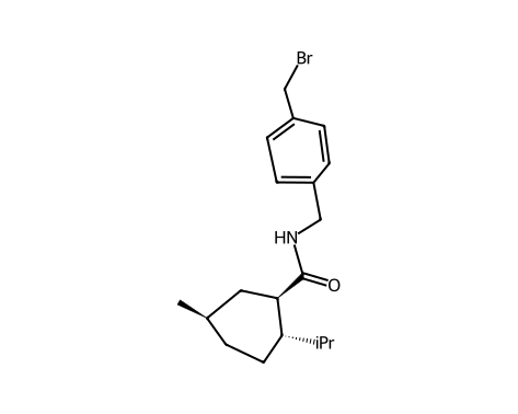 CC(C)[C@@H]1CC[C@@H](C)C[C@H]1C(=O)NCc1ccc(CBr)cc1